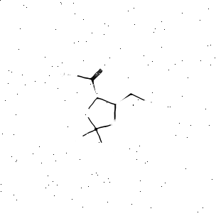 COC(=O)[C@@H]1OC(C)(C)O[C@@H]1CO